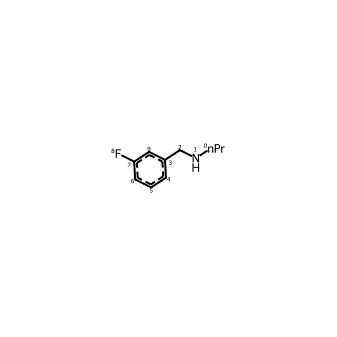 CCCNCc1cccc(F)c1